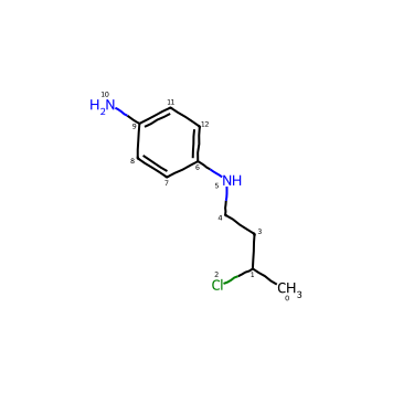 CC(Cl)CCNc1ccc(N)cc1